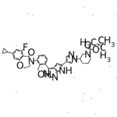 CC(C)(C)OC(=O)N1CCCC(n2cc(-c3cc4c(-c5cccc(N6CCOc7cc(C8CC8)cc(F)c7C6=O)c5CO)ncnc4[nH]3)cn2)C1